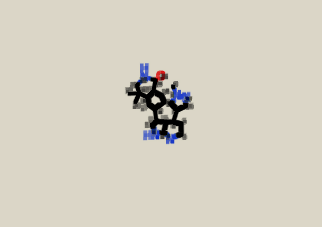 Cn1cc(-c2ccnc3[nH]cc(-c4ccc5c(c4)C(C)(C)CNC5=O)c23)cn1